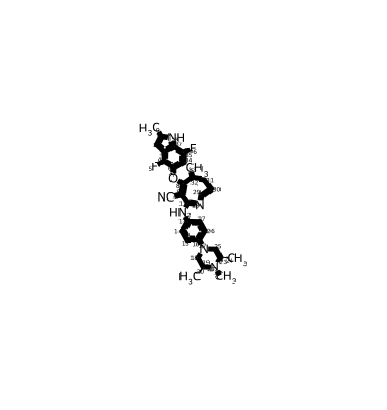 Cc1cc2c(F)c(O/C3=C(C#N)/C(Nc4ccc(N5C[C@@H](C)N(C)[C@@H](C)C5)cc4)=N\C=C\CC3C)cc(F)c2[nH]1